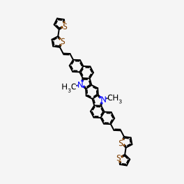 Cn1c2cc3c4ccc5cc(/C=C/c6ccc(-c7cccs7)s6)ccc5c4n(C)c3cc2c2ccc3cc(/C=C/c4ccc(-c5cccs5)s4)ccc3c21